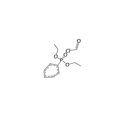 CCOP(=O)(OCC)c1ccccc1.O=CCl